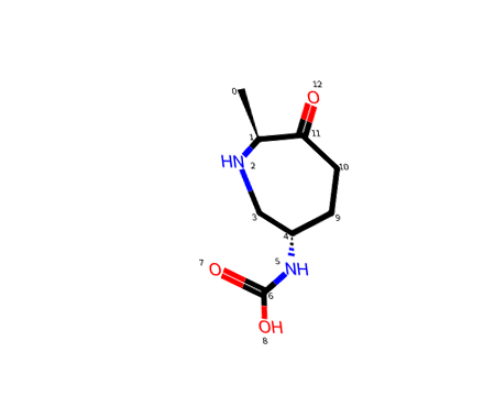 C[C@@H]1NC[C@@H](NC(=O)O)CCC1=O